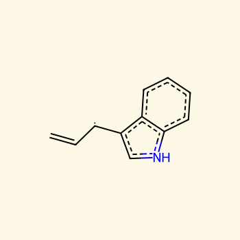 C=C[CH]c1c[nH]c2ccccc12